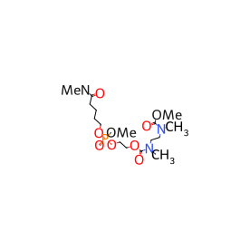 CNC(=O)CCCCOP(=O)(OC)OCCOC(=O)N(C)CCN(C)C(=O)OC